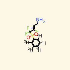 [2H]c1c([2H])c([2H])c(S(=O)(=O)C(F)(F)/C(F)=C/CN)c([2H])c1[2H]